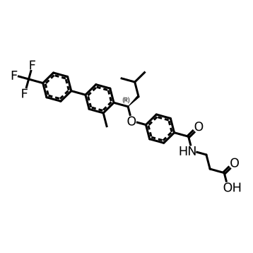 Cc1cc(-c2ccc(C(F)(F)F)cc2)ccc1[C@@H](CC(C)C)Oc1ccc(C(=O)NCCC(=O)O)cc1